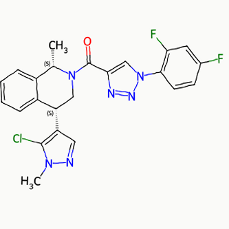 C[C@H]1c2ccccc2[C@@H](c2cnn(C)c2Cl)CN1C(=O)c1cn(-c2ccc(F)cc2F)nn1